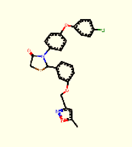 Cc1cc(COc2cccc(C3SCC(=O)N3c3ccc(Oc4ccc(Cl)cc4)cc3)c2)no1